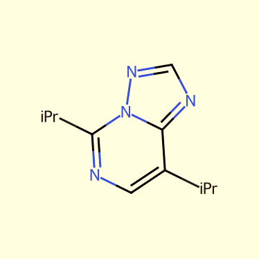 CC(C)c1cnc(C(C)C)n2ncnc12